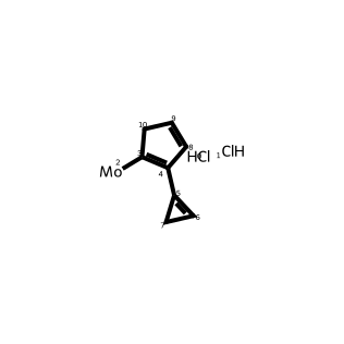 Cl.Cl.[Mo][C]1=C(C2=CC2)C=CC1